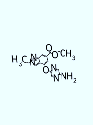 CCOC(=O)c1cc(Oc2cnc(N)cn2)c2cn(CC)nc2c1